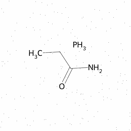 CCC(N)=O.P